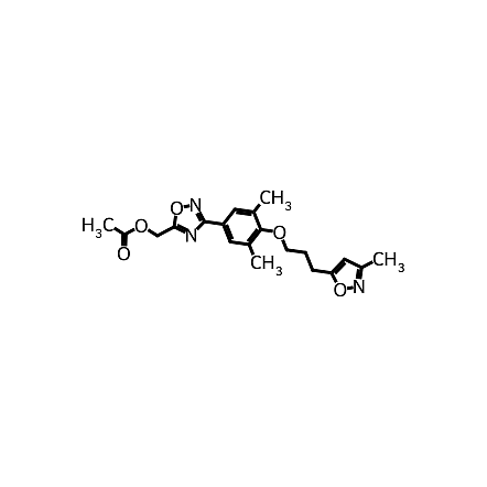 CC(=O)OCc1nc(-c2cc(C)c(OCCCc3cc(C)no3)c(C)c2)no1